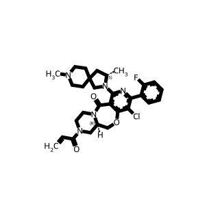 C=CC(=O)N1CCN2C(=O)c3c(N4CC5(CCN(C)CC5)C[C@@H]4C)nc(-c4ccccc4F)c(Cl)c3OC[C@H]2C1